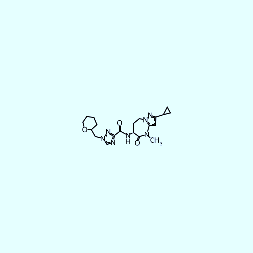 CN1C(=O)[C@@H](NC(=O)c2ncn(CC3CCCCO3)n2)CCn2nc(C3CC3)cc21